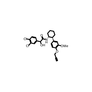 C#CCOc1ccc([C@@H]2CCCC[C@H]2NC(=O)C(O)c2ccc(Cl)c(Cl)c2)cc1OC